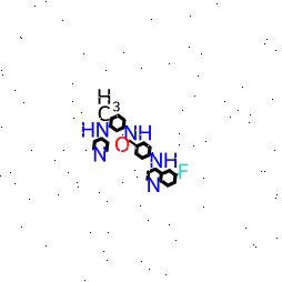 Cc1ccc(NC(=O)c2ccc(Nc3ccnc4ccc(F)cc34)cc2)cc1Nc1ccncc1